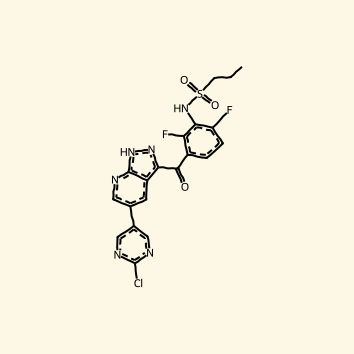 CCCS(=O)(=O)Nc1c(F)ccc(C(=O)c2n[nH]c3ncc(-c4cnc(Cl)nc4)cc23)c1F